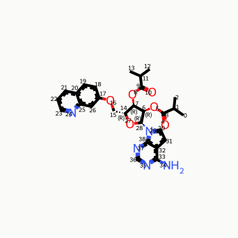 CC(C)C(=O)O[C@@H]1[C@H](OC(=O)C(C)C)[C@@H](COc2ccc3cccnc3c2)O[C@H]1n1ccc2c(N)ncnc21